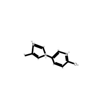 Cc1cn(-c2ccc(Cl)nc2)cn1